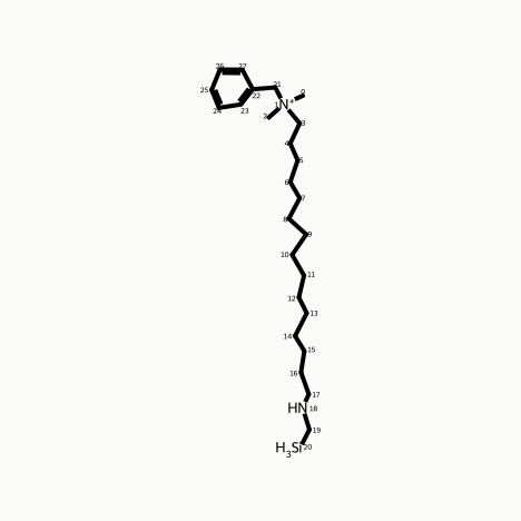 C[N+](C)(CCCCCCCCCCCCCCCNC[SiH3])Cc1ccccc1